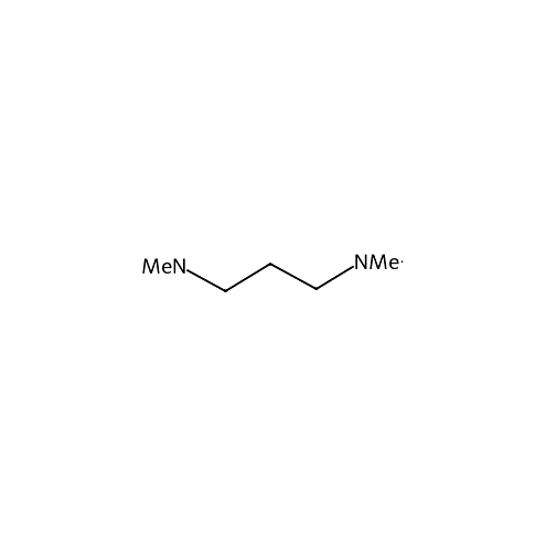 C[N]CCCNC